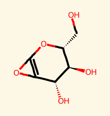 OC[C@H]1OC2=C(O2)[C@@H](O)[C@@H]1O